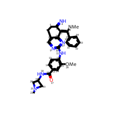 CN/C(=C1\C(=N)CCc2cnc(Nc3ccc(C(=O)NC4CN(C)C4)cc3OC)nc21)c1ccccc1